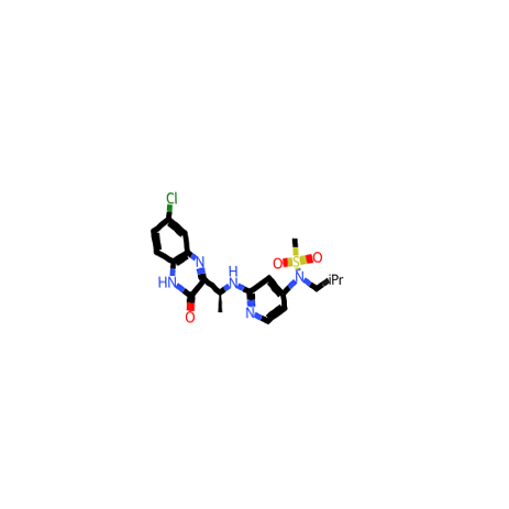 CC(C)CN(c1ccnc(N[C@@H](C)c2nc3cc(Cl)ccc3[nH]c2=O)c1)S(C)(=O)=O